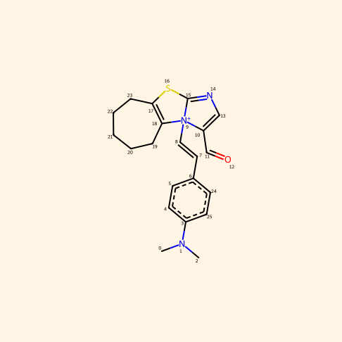 CN(C)c1ccc(/C=C/[N+]23C(C=O)=CN=C2SC2=C3CCCCC2)cc1